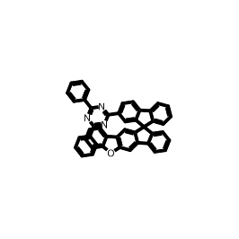 c1ccc(-c2nc(-c3ccccc3)nc(-c3ccc4c(c3)C3(c5ccccc5-4)c4ccccc4-c4cc5oc6ccccc6c5cc43)n2)cc1